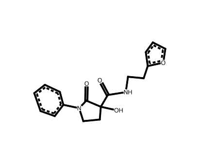 O=C(NCCc1ccco1)C1(O)CCN(c2ccccc2)C1=O